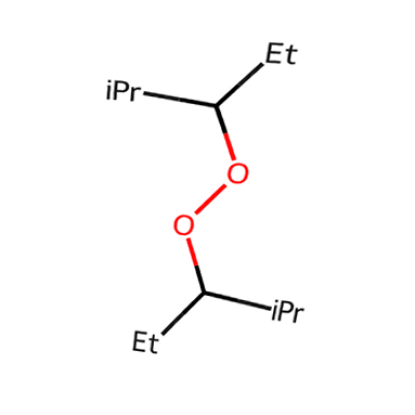 CCC(OOC(CC)C(C)C)C(C)C